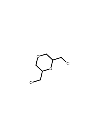 ClCC1COCC(CCl)O1